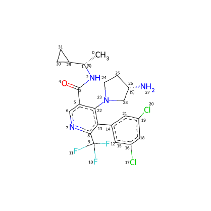 C[C@H](NC(=O)c1cnc(C(F)(F)F)c(-c2cc(Cl)cc(Cl)c2)c1N1CC[C@H](N)C1)C1CC1